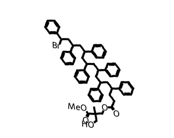 COC(=O)C(C)(CO)COC(=O)CCC(CC(CC(CC(CC(CC(CC(Br)c1ccccc1)c1ccccc1)c1ccccc1)c1ccccc1)c1ccccc1)c1ccccc1)c1ccccc1